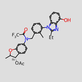 CCc1nc2c(O)cccc2n1-c1cccc(CN(C(=O)C(F)(F)F)c2ccc3c(c2)OC(C)[C@H]3OC(C)=O)c1C